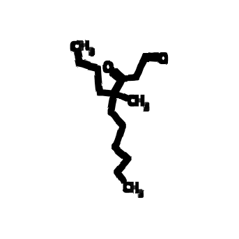 CCCCCCC(C)(CCCC)C(=O)CC=O